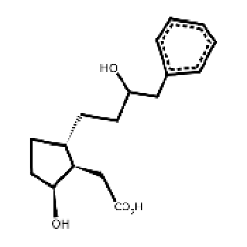 O=C(O)C[C@@H]1[C@@H](CCC(O)Cc2ccccc2)CC[C@@H]1O